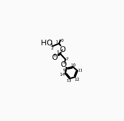 CC(CO)OC(=O)COc1ccccc1